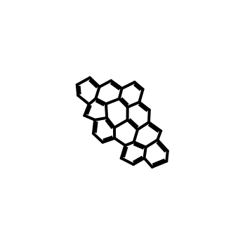 c1cc2ccc3c4ccc5cc6cccc7cc8ccc9cc%10cc(c1)c2c3c%10c1c9c8c(c76)c5c41